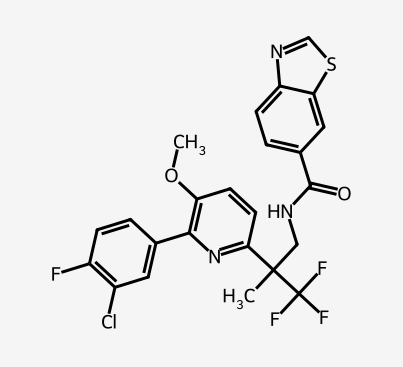 COc1ccc(C(C)(CNC(=O)c2ccc3ncsc3c2)C(F)(F)F)nc1-c1ccc(F)c(Cl)c1